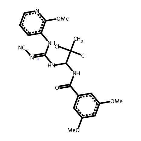 COc1cc(OC)cc(C(=O)NC(N/C(=N/C#N)Nc2cccnc2OC)C(C)(Cl)Cl)c1